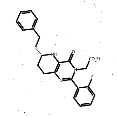 CCOC(=O)Cn1c(-c2ccccc2F)nc2c(c1=O)N[C@@H](CCc1ccccc1)CC2